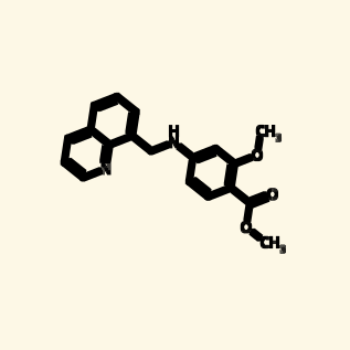 COC(=O)c1ccc(NCc2cccc3cccnc23)cc1OC